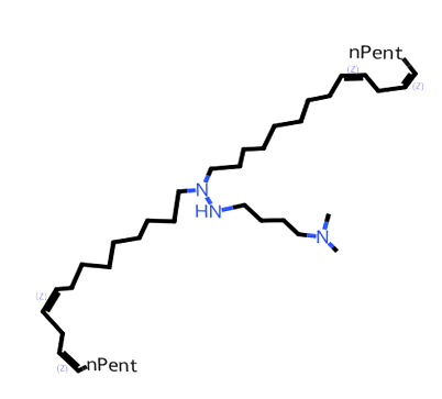 CCCCC/C=C\C/C=C\CCCCCCCCN(CCCCCCCC/C=C\C/C=C\CCCCC)NCCCCN(C)C